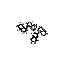 c1ccc2nc(-c3nc4cccc(-c5ccnc6ccccc56)c4nc3-c3ccc4ccccc4n3)ccc2c1